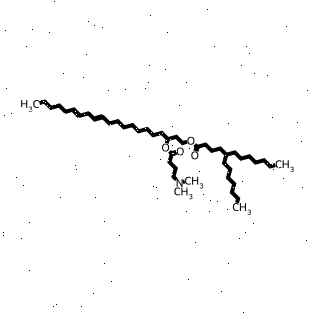 CCCCCC=CCC=CCCCCCCCCC(CCOC(=O)CCCC(CCCCCCC)CCCCCCC)OC(=O)CCCN(C)C